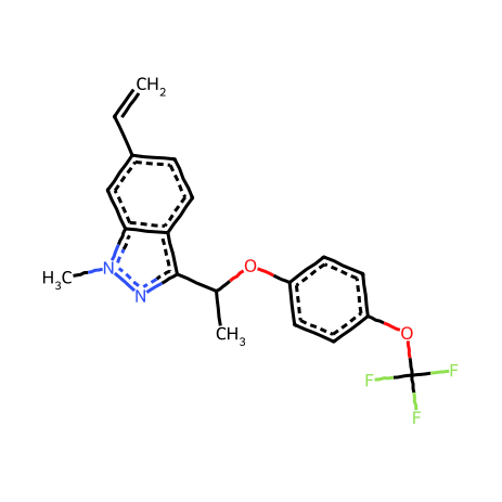 C=Cc1ccc2c(C(C)Oc3ccc(OC(F)(F)F)cc3)nn(C)c2c1